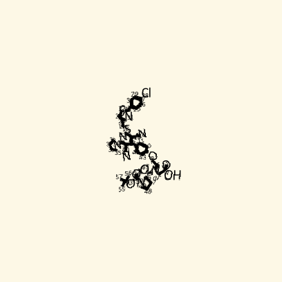 C[C@@H](C(=O)O)N(CCOc1ccc(-c2c(C#N)c(SCc3csc(-c4ccc(Cl)cc4)n3)nc(N3CCCC3)c2C#N)cc1)C(=O)[C@@H]1CCCN1C(=O)OC(C)(C)C